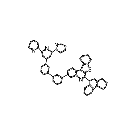 c1ccc(-c2cc(-c3cccc(-c4cccc(-c5ccc6c(c5)nc(-c5cc7ccccc7c7ccccc57)c5sc7ccccc7c56)c4)c3)cc(-c3ccccn3)n2)nc1